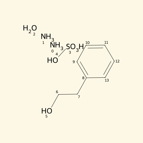 N.N.O.O=S(=O)(O)O.OCCc1ccccc1